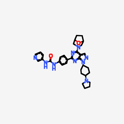 O=C(Nc1ccc(-c2nc(N3CC4CCC(C3)O4)c3cnn(C4CCC(N5CCCC5)CC4)c3n2)cc1)Nc1cccnc1